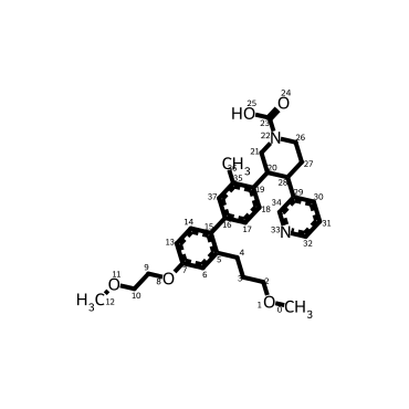 COCCCc1cc(OCCOC)ccc1-c1ccc(C2CN(C(=O)O)CCC2c2cccnc2)c(C)c1